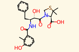 Cc1c(O)cccc1C(=O)N[C@@H](Cc1ccccc1)[C@H](O)C(=O)N1CSC(C)(C)[C@H]1C(=O)O